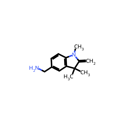 C=C1N(C)c2ccc(CN)cc2C1(C)C